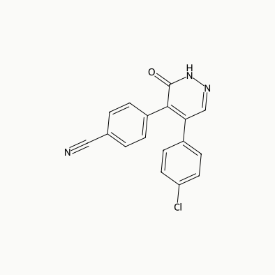 N#Cc1ccc(-c2c(-c3ccc(Cl)cc3)cn[nH]c2=O)cc1